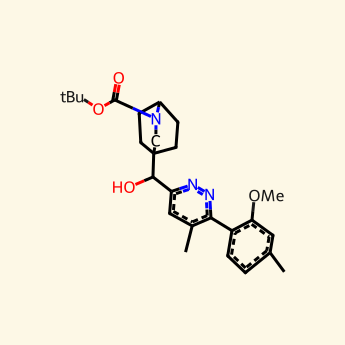 COc1cc(C)ccc1-c1nnc(C(O)C23CCC(CC2)N(C(=O)OC(C)(C)C)C3)cc1C